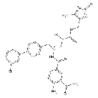 Cc1oc(=O)oc1COC(=O)C(O)C[C@@H](Cc1ccc(-c2cccc(Cl)c2)cc1)NC(=O)c1ccc(N)c(N(N)O)c1